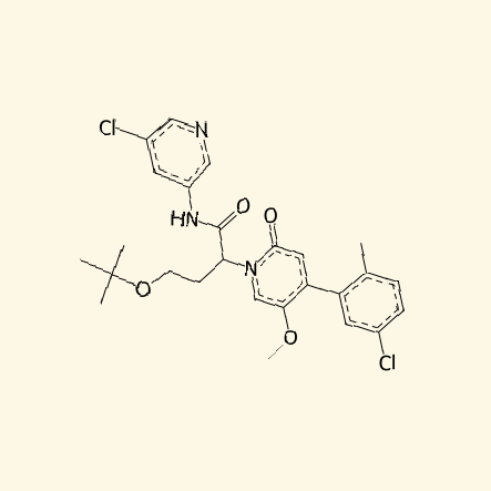 COc1cn(C(CCOC(C)(C)C)C(=O)Nc2cncc(Cl)c2)c(=O)cc1-c1cc(Cl)ccc1C